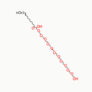 CCCCCCCCC=CCCCCCCCC(=O)C(O)COCCOCCOCCOCCOCCOCCOCCOCCOCCOCCOCCO